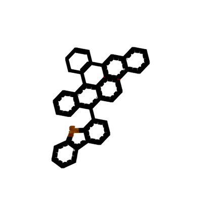 C1=CC(c2ccc3ccccc3c2)=C(c2c3ccccc3c(-c3cccc4c3sc3ccccc34)c3ccccc23)CC1